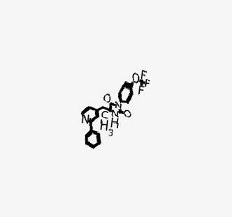 CC1(Cc2ccnc(-c3ccccc3)c2)NC(=O)N(c2ccc(OC(F)(F)F)cc2)C1=O